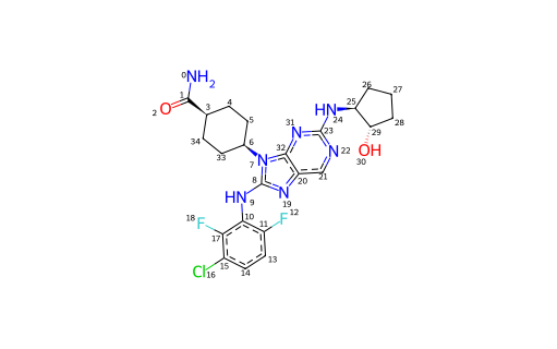 NC(=O)[C@H]1CC[C@@H](n2c(Nc3c(F)ccc(Cl)c3F)nc3cnc(N[C@H]4CCC[C@@H]4O)nc32)CC1